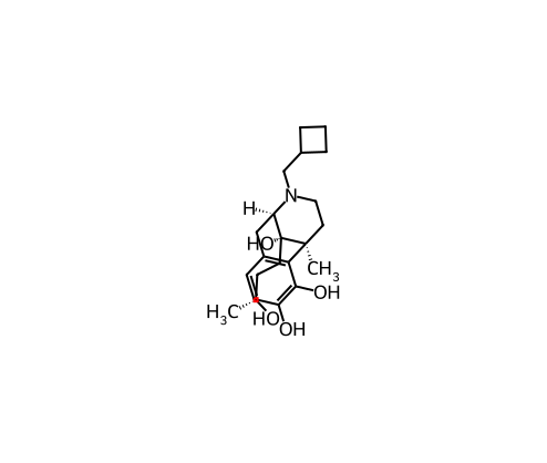 C[C@@H](O)CC[C@@]1(O)[C@H]2Cc3ccc(O)c(O)c3[C@]1(C)CCN2CC1CCC1